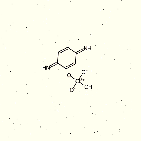 N=C1C=CC(=N)C=C1.[O-][Cl+3]([O-])([O-])O